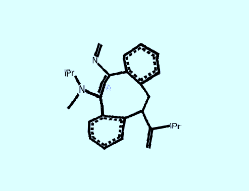 C=N/C1=C(\N(C)C(C)C)c2ccccc2C(C(=C)C(C)C)Cc2ccccc21